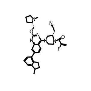 C=C(F)C(=O)N1CCN(c2nc(OC[C@@H]3CCCN3C)nc3cc(-c4cccc5c4CCC5C)ccc23)C[C@@H]1CC#N